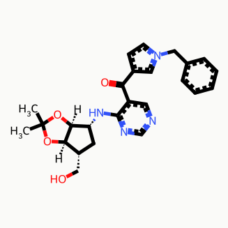 CC1(C)O[C@@H]2[C@@H](CO)C[C@@H](Nc3ncncc3C(=O)c3ccn(Cc4ccccc4)c3)[C@@H]2O1